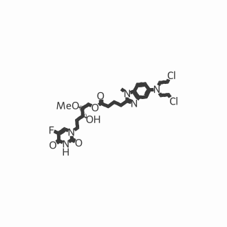 CO[C@H](COC(=O)CCCc1nc2cc(N(CCCl)CCCl)ccc2n1C)[C@H](O)CCn1cc(F)c(=O)[nH]c1=O